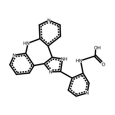 O=C(O)Nc1cnccc1-c1nc2c([nH]1)-c1ccncc1Nc1ncccc1-2